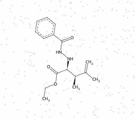 C=C(C)[C@@H](C)[C@H](NNC(=O)c1ccccc1)C(=O)OCC